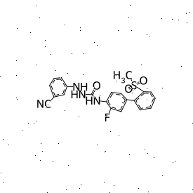 CS(=O)(=O)c1ccccc1-c1ccc(NC(=O)NNc2cccc(C#N)c2)c(F)c1